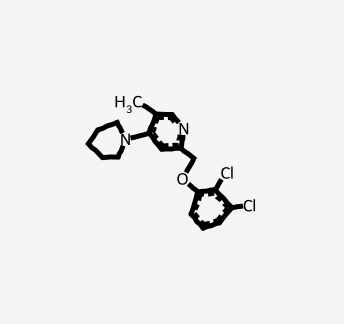 Cc1cnc(COc2cccc(Cl)c2Cl)cc1N1CCCCC1